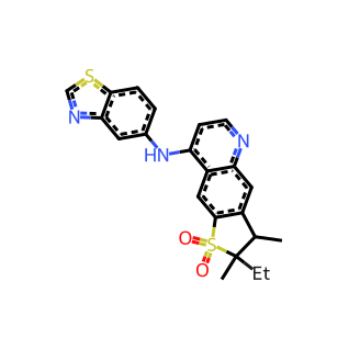 CCC1(C)C(C)c2cc3nccc(Nc4ccc5scnc5c4)c3cc2S1(=O)=O